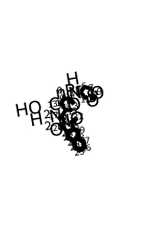 CCC[C@H](C(=O)NC1CCS(=O)(=O)C1)[C@H](C(=O)O)C(C)C(N)N1C(=O)c2cc3ccccc3cc2C1=O